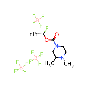 CCCC(F)OC(=O)N1CCN(C)C(C)C1.F[B-](F)(F)F.F[B-](F)(F)F.F[B-](F)(F)F